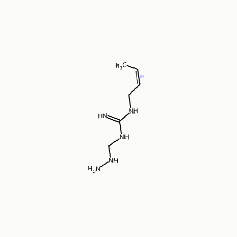 C/C=C\CNC(=N)NCNN